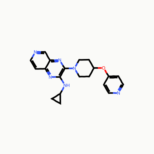 c1cc(OC2CCN(c3nc4cnccc4nc3NC3CC3)CC2)ccn1